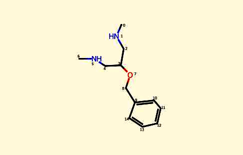 CNCC(CNC)OCc1ccccc1